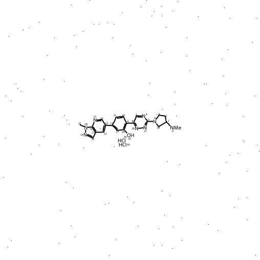 CNC1CCN(c2ncc(-c3ccc(-c4cnc5c(cnn5C)c4)cc3O)nn2)C1.Cl.Cl